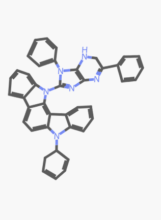 C1=CCC(n2c3ccccc3c3c4c(ccc32)c2ccccc2n4-c2nc3c(n2-c2ccccc2)NCC(c2ccccc2)=N3)C=C1